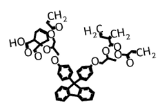 C=CC(=C)C(=O)OC(COC(=O)C=C)COc1ccc(C2(c3ccc(OCC(COC(=O)C=C)OC4(C=O)CC=CCC4C(=O)O)cc3)c3ccccc3-c3ccccc32)cc1